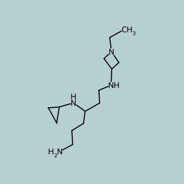 CCN1CC(NCCC(CCCN)NC2CC2)C1